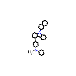 CN(c1ccccc1)c1ccc(-c2cccc3c2c2ccccc2n3-c2ccc3ccccc3c2)cc1